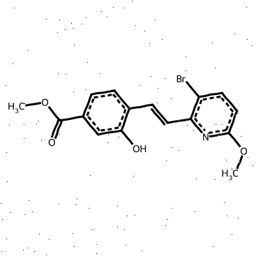 COC(=O)c1ccc(C=Cc2nc(OC)ccc2Br)c(O)c1